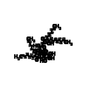 CCCCCCCCC(O)C(CCCCCCC)C(=O)OCC1O[C@H](O[C@@H]2OC(COC(=O)C(CCCCCCC)C(O)CCCCCCCC)[C@@H](O)[C@H](O)C2O)C(O)[C@@H](O)[C@@H]1O